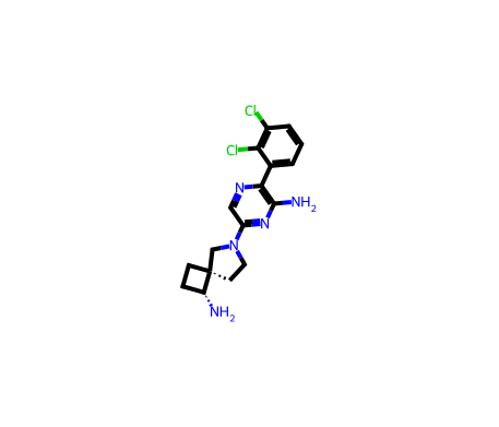 Nc1nc(N2CC[C@]3(CC[C@H]3N)C2)cnc1-c1cccc(Cl)c1Cl